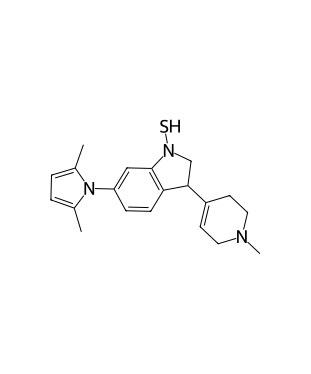 Cc1ccc(C)n1-c1ccc2c(c1)N(S)CC2C1=CCN(C)CC1